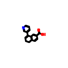 O=C(O)c1ccc2c(c1)C(c1cccnc1)=CCC2